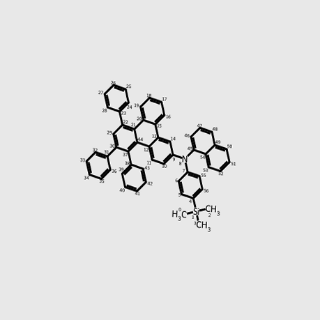 C[Si](C)(C)c1ccc(N(c2ccc3c(c2)c2ccccc2c2c(-c4ccccc4)cc(-c4ccccc4)c(-c4ccccc4)c32)c2cccc3ccccc23)cc1